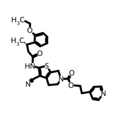 CCOc1ccccc1[C@@H](C)CC(=O)Nc1sc2c(c1C#N)CCN(C(=O)OCCc1ccncc1)C2